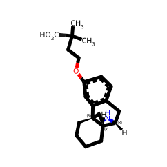 CC(C)(CCOc1ccc2c(c1)[C@@]13CCCC[C@H]1[C@@H](C2)NCC3)C(=O)O